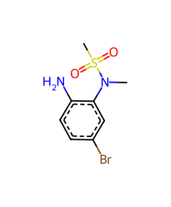 CN(c1cc(Br)ccc1N)S(C)(=O)=O